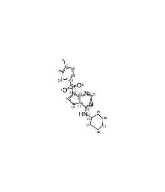 Cc1ccc(S(=O)(=O)n2ccc3c(NC4CCCCC4)ncnc32)cc1